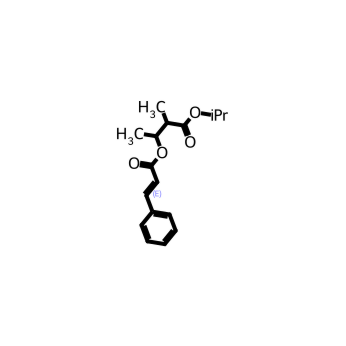 CC(C)OC(=O)C(C)C(C)OC(=O)/C=C/c1ccccc1